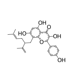 C=C(C)C(CC=C(C)C)Cc1c(O)cc(O)c2c(=O)c(O)c(-c3ccc(O)cc3)oc12